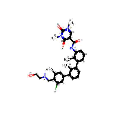 COc1cc(-c2cccc(-c3cccc(NC(=O)c4cn(C)c(=O)n(C)c4=O)c3C)c2C)cc(F)c1CNCCO